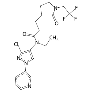 CCN(C(=O)CCC1CCN(CC(F)(F)F)C1=O)c1cn(-c2cccnc2)nc1Cl